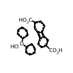 Cl.O=C(O)c1ccc2c(c1)=c1ccc(C(=O)O)cc1=2.c1ccc(Oc2ccccc2)cc1